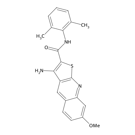 COc1ccc2cc3c(N)c(C(=O)Nc4c(C)cccc4C)sc3nc2c1